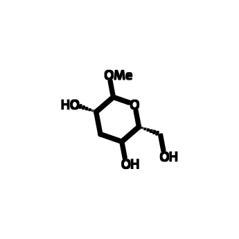 COC1O[C@H](CO)C(O)C[C@@H]1O